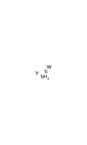 [SiH4].[Ti].[V].[W]